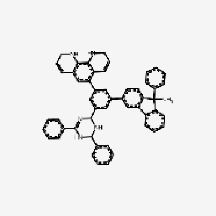 CC1(c2ccccc2)c2ccccc2-c2cc(-c3cc(-c4cc5c(c6c4C=CCN6)NCC=C5)cc(C4N=C(c5ccccc5)NC(c5ccccc5)N4)c3)ccc21